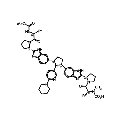 COC(=O)N[C@H](C(=O)N1CCC[C@H]1c1nc2ccc([C@@H]3CC[C@@H](c4ccc5nc([C@@H]6CCCN6C(=O)[C@H](C(C)C)N(C)C(=O)O)[nH]c5c4)N3c3ccc(N4CCCCC4)nc3)cc2[nH]1)C(C)C